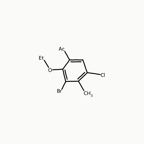 CCOc1c(C(C)=O)cc(Cl)c(C)c1Br